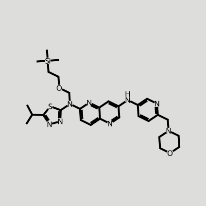 CC(C)c1nnc(N(COCC[Si](C)(C)C)c2ccc3ncc(Nc4ccc(CN5CCOCC5)nc4)cc3n2)s1